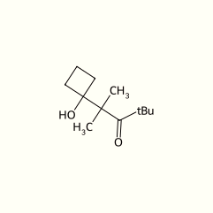 CC(C)(C)C(=O)C(C)(C)C1(O)CCC1